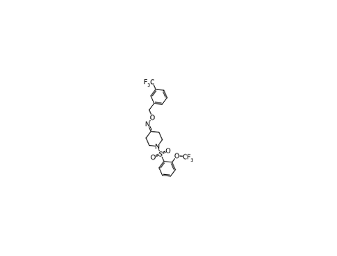 O=S(=O)(c1ccccc1OC(F)(F)F)N1CCC(=NOCc2cccc(C(F)(F)F)c2)CC1